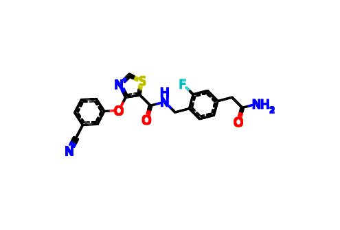 N#Cc1cccc(Oc2ncsc2C(=O)NCc2ccc(CC(N)=O)cc2F)c1